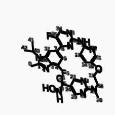 Cc1nc2c(F)cc(-c3nc(Nc4ccc(OCCN(C)c5ncc(C(=O)NO)cn5)cn4)ncc3F)cc2n1C(C)C